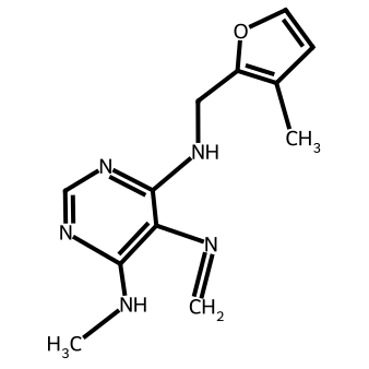 C=Nc1c(NC)ncnc1NCc1occc1C